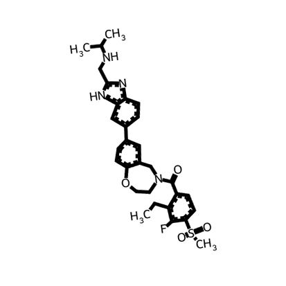 CCc1c(C(=O)N2CCOc3ccc(-c4ccc5nc(CNC(C)C)[nH]c5c4)cc3C2)ccc(S(C)(=O)=O)c1F